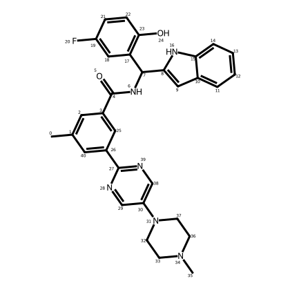 Cc1cc(C(=O)NC(c2cc3ccccc3[nH]2)c2cc(F)ccc2O)cc(-c2ncc(N3CCN(C)CC3)cn2)c1